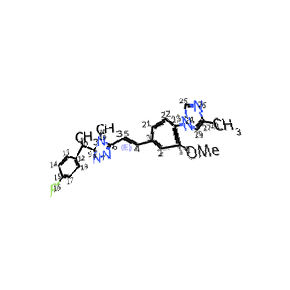 COc1cc(/C=C/c2nnc(C(C)c3ccc(F)cc3)n2C)ccc1-n1cnc(C)c1